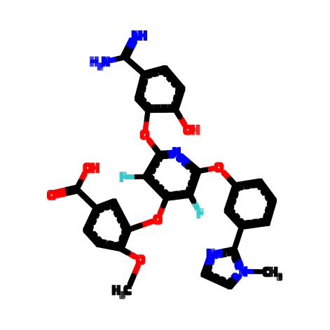 COc1ccc(C(=O)O)cc1Oc1c(F)c(Oc2cccc(-c3nccn3C)c2)nc(Oc2cc(C(=N)N)ccc2O)c1F